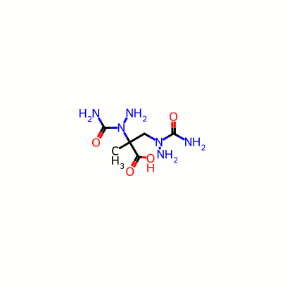 CC(CN(N)C(N)=O)(C(=O)O)N(N)C(N)=O